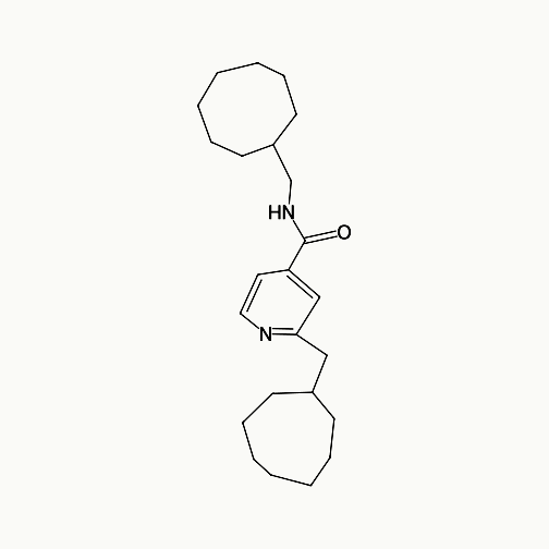 O=C(NCC1CCCCCCC1)c1ccnc(CC2CCCCCCC2)c1